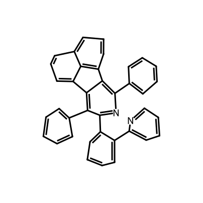 c1ccc(-c2nc(-c3ccccc3-c3ccccn3)c(-c3ccccc3)c3c2-c2cccc4cccc-3c24)cc1